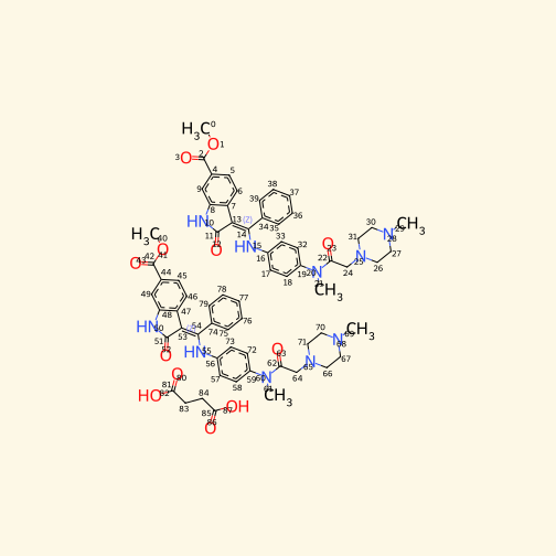 COC(=O)c1ccc2c(c1)NC(=O)/C2=C(\Nc1ccc(N(C)C(=O)CN2CCN(C)CC2)cc1)c1ccccc1.COC(=O)c1ccc2c(c1)NC(=O)/C2=C(\Nc1ccc(N(C)C(=O)CN2CCN(C)CC2)cc1)c1ccccc1.O=C(O)CCC(=O)O